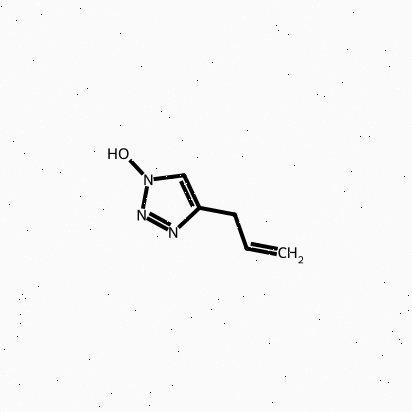 C=CCc1cn(O)nn1